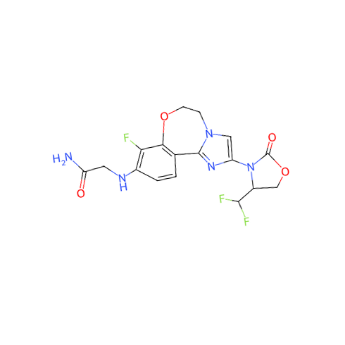 NC(=O)CNc1ccc2c(c1F)OCCn1cc(N3C(=O)OCC3C(F)F)nc1-2